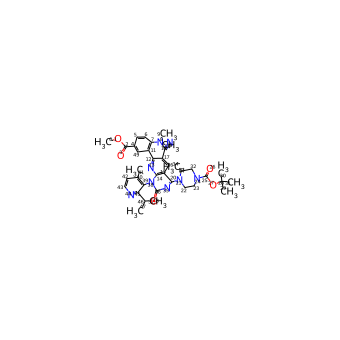 COC(=O)c1ccc(N(C)C)c(-c2nc3c(cc2C#N)c(N2CCN(C(=O)OC(C)(C)C)C[C@@H]2C)nc(=O)n3-c2c(C)ccnc2C(C)C)c1